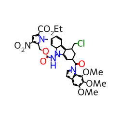 CCOC(=O)c1cc([N+](=O)[O-])c(COC(=O)NN2C3=CC(C(=O)n4ccc5cc(OC)c(OC)c(OC)c54)CC(CCl)C3=C3C=CC=CC32)n1C